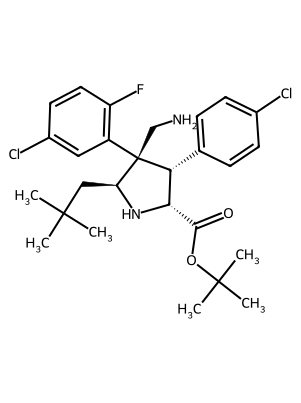 CC(C)(C)C[C@@H]1N[C@@H](C(=O)OC(C)(C)C)[C@@H](c2ccc(Cl)cc2)[C@@]1(CN)c1cc(Cl)ccc1F